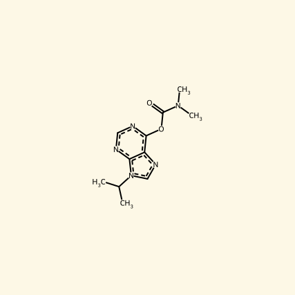 CC(C)n1cnc2c(OC(=O)N(C)C)ncnc21